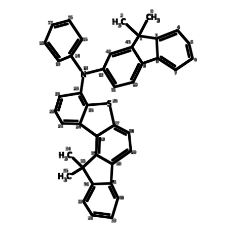 CC1(C)c2ccccc2-c2ccc(N(c3ccccc3)c3cccc4c3sc3ccc5c(c34)C(C)(C)c3ccccc3-5)cc21